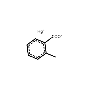 Cc1ccccc1C(=O)[O-].[Hg+]